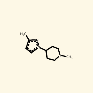 Cc1[c]cn(C2CCN(C)CC2)n1